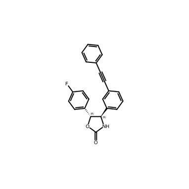 O=C1N[C@H](c2cccc(C#Cc3ccccc3)c2)[C@@H](c2ccc(F)cc2)O1